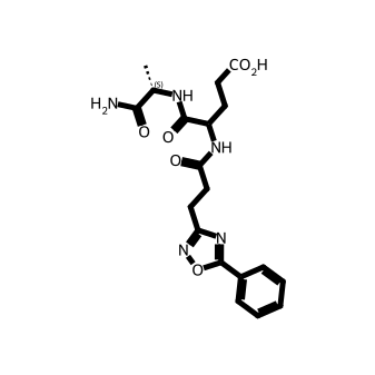 C[C@H](NC(=O)C(CCC(=O)O)NC(=O)CCc1noc(-c2ccccc2)n1)C(N)=O